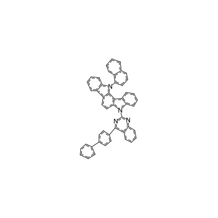 c1ccc(-c2ccc(-c3nc(-n4c5ccccc5c5c4ccc4c6ccccc6n(-c6cccc7ccccc67)c45)nc4ccccc34)cc2)cc1